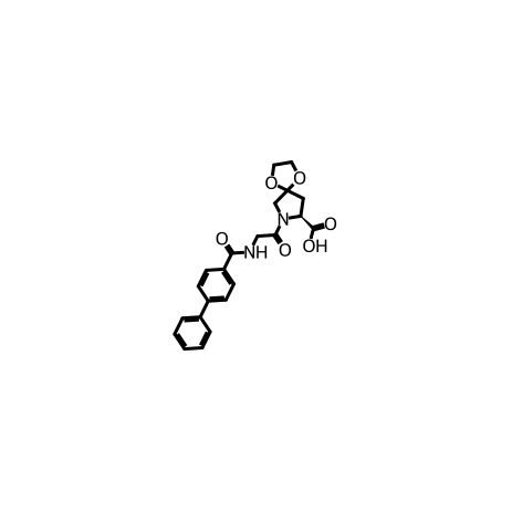 O=C(NCC(=O)N1CC2(C[C@H]1C(=O)O)OCCO2)c1ccc(-c2ccccc2)cc1